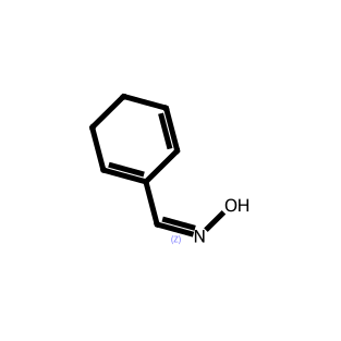 O/N=C\C1=CCCC=C1